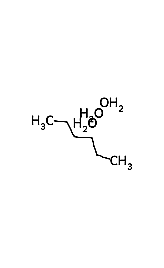 CCCCCC.O.O.O